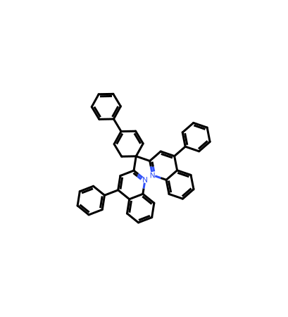 C1=CC(c2cc(-c3ccccc3)c3ccccc3n2)(c2cc(-c3ccccc3)c3ccccc3n2)CC=C1c1ccccc1